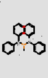 CP([SiH](c1ccccc1)c1ccccc1)[SiH](c1ccccc1)c1ccccc1